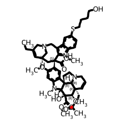 CCC1=C[C@H]2CN(C1)Cc1c([nH]c3ccc(SCCCCO)cc13)[C@@](C(=O)OC)(c1cc3c(cc1OC)N(C)[C@H]1[C@@](O)(C(=O)OC)[C@H](OC(C)=O)[C@]4(CC)C=CCN5CC[C@]31[C@@H]54)C2